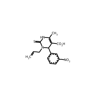 C=CCN1C(=S)NC(C)=C(C(=O)O)C1c1cccc([N+](=O)[O-])c1